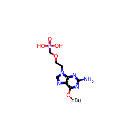 CCCCOc1nc(N)nc2c1ncn2CCOCP(=O)(O)O